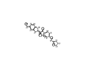 CN(C(=O)c1ccc(OCC2CCCO2)cc1)C1Cc2ccc(C=O)cc2C1